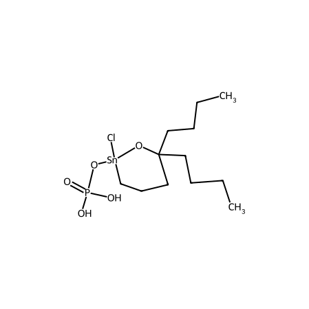 CCCCC1(CCCC)CC[CH2][Sn]([Cl])([O]P(=O)(O)O)[O]1